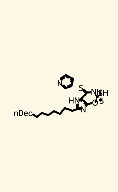 CCCCCCCCCCCCCCCCCc1nc2c([nH]1)C(=S)NP(=S)(S)O2.c1ccncc1